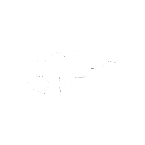 CN(C)CCNCCS(=O)(=O)c1ccccc1.O=C(O)C=CC(=O)O